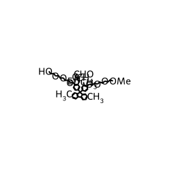 CC[N+](C)(Cc1cc(C2(c3ccc(OCCOCCOCCOC)c(C)c3)c3cc(C)ccc3-c3ccc(C)cc32)ccc1COCCOCCOCCO)OC=O